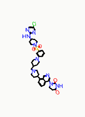 O=C1CCN(c2cncc3c(C4CCN(CC5CCN(c6cccc(S(=O)(=O)N7CCC(Nc8ncc(Cl)cn8)CC7)c6)CC5)CC4)cccc23)C(=O)N1